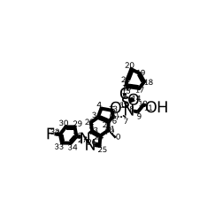 C[C@@H]1C2=C(CC[C@@H]2CN(CCO)S(=O)(=O)Cc2ccccc2)Cc2c1cnn2-c1ccc(F)cc1